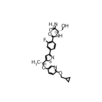 C[C@@H](Oc1ccc(OCC2CC2)nc1)c1cc(-c2ccc(C(=O)N[C@@H](CO)C(N)=O)c(F)c2)ns1